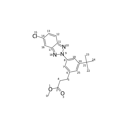 COC(=O)CCc1cc(-n2nc3ccc(Cl)cc3n2)cc(C(C)(C)C)c1